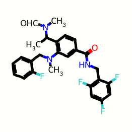 CC(c1ccc(C(=O)NCc2c(F)cc(F)cc2F)cc1N(C)Cc1ccccc1F)N(C)C=O